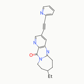 CCC1CCc2nc3cc(C#Cc4ccccn4)cnc3c(=O)n2CC1